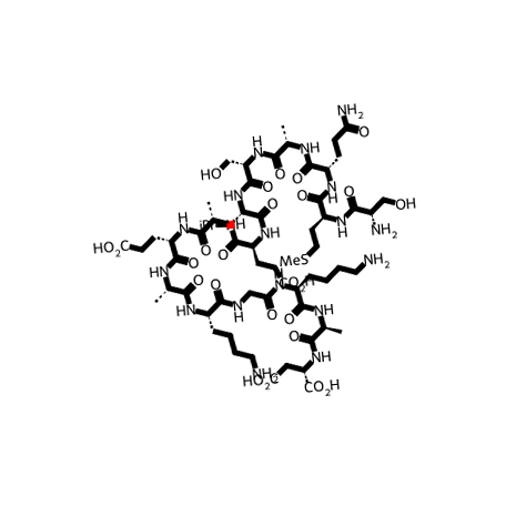 CSCC[C@H](NC(=O)[C@@H](N)CO)C(=O)N[C@@H](CCC(N)=O)C(=O)N[C@@H](C)C(=O)N[C@@H](CO)C(=O)N[C@@H](CC(C)C)C(=O)N[C@@H](CCC(=O)O)C(=O)N[C@@H](C)C(=O)N[C@@H](CCC(=O)O)C(=O)N[C@@H](C)C(=O)N[C@@H](CCCCN)C(=O)NCC(=O)N[C@@H](CCCCN)C(=O)N[C@@H](C)C(=O)N[C@@H](CC(=O)O)C(=O)O